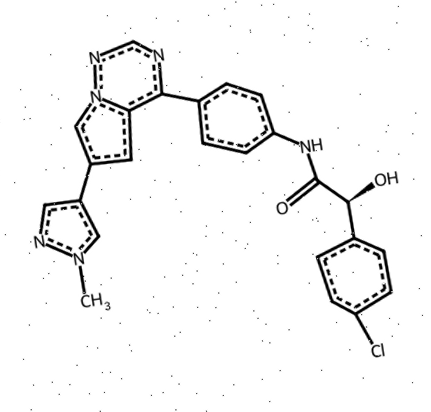 Cn1cc(-c2cc3c(-c4ccc(NC(=O)[C@@H](O)c5ccc(Cl)cc5)cc4)ncnn3c2)cn1